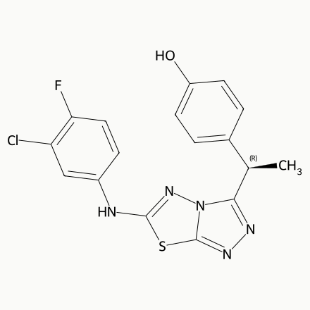 C[C@H](c1ccc(O)cc1)c1nnc2sc(Nc3ccc(F)c(Cl)c3)nn12